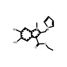 CCOC(=O)c1c(C[SH]2C=CC=C2)n(C)c2cc(Br)c(O)cc12